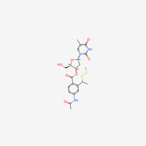 CSSC(C)c1cc(NC(C)=O)ccc1C(=O)O[C@@H]1C[C@H](n2cc(C)c(=O)[nH]c2=O)O[C@@H]1CO